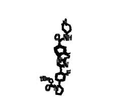 CN1CCC(NC(=O)c2ccc3c(c2)sc2nc(-c4ccc(C5CCCN5C(=O)OC(C)(C)C)cc4F)cn23)CC1